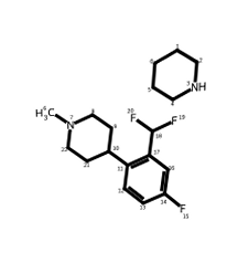 C1CCNCC1.CN1CCC(c2ccc(F)cc2C(F)F)CC1